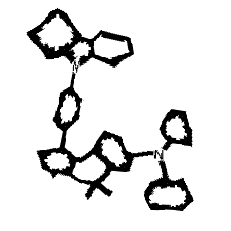 CC1(C)c2cc(N(c3ccccc3)c3ccccc3)ccc2-c2c(-c3ccc(-n4c5c(c6ccccc64)C=CCC5)cc3)cccc21